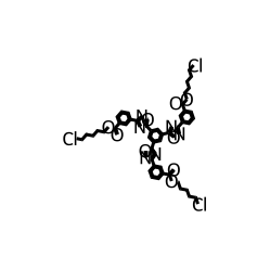 O=C(OCCCCCCl)c1cccc(-c2noc(-c3cc(-c4nc(-c5cccc(C(=O)OCCCCCCl)c5)no4)cc(-c4nc(-c5cccc(C(=O)OCCCCCCl)c5)no4)c3)n2)c1